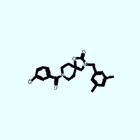 Cc1cc(C)cc(CN2CC3(CCN(C(=O)c4cccc(Cl)c4)CC3)OC2=O)c1